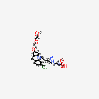 COCCOCCOC1=CC=C2C(=CCc3ccc(Cl)cc3N2CCCCNC/C=C/C(=O)O)C1